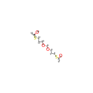 CC(=O)SCCCOCOCCCSC(C)=O